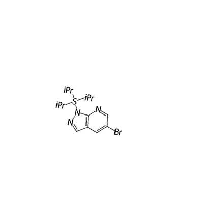 CC(C)S(C(C)C)(C(C)C)n1ncc2cc(Br)cnc21